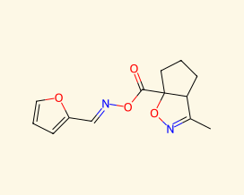 CC1=NOC2(C(=O)O/N=C/c3ccco3)CCCC12